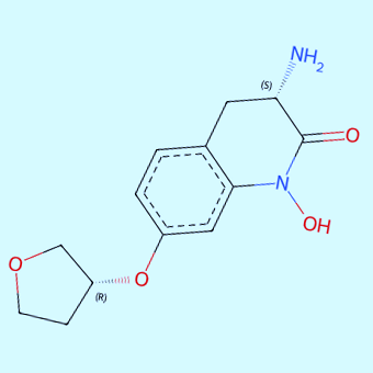 N[C@H]1Cc2ccc(O[C@@H]3CCOC3)cc2N(O)C1=O